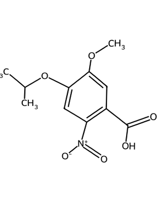 COc1cc(C(=O)O)c([N+](=O)[O-])cc1OC(C)C